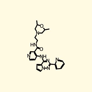 CC1CN(CCNC(=O)c2cnccc2Nc2nc(-c3ccccn3)nn3cccc23)CC(C)O1